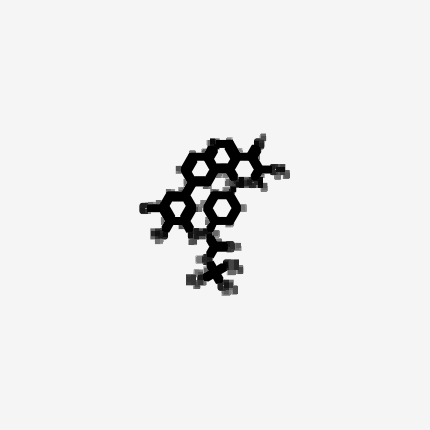 CC(C)C(=O)c1cnc2ccc(-c3cc(Cl)c(O)c(Cl)c3)cc2c1N[C@H]1CC[C@H](NC(=O)OC(C)(C)C)CC1